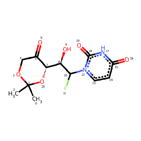 CC1(C)OCC(=O)[C@H]([C@@H](O)C(F)n2ccc(=O)[nH]c2=O)O1